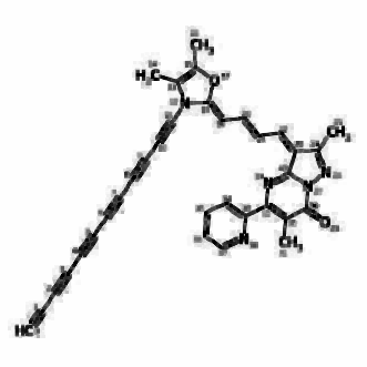 C#CC#CC#CC#CC#CC#CN1C(C)=C(C)O\C1=C/C=C/C=c1/c(C)nn2c(=O)c(C)c(-c3ccccn3)nc12